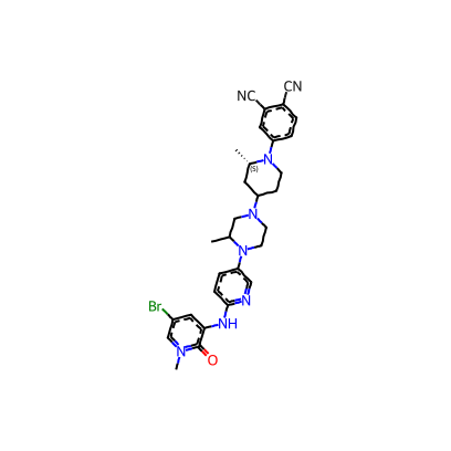 CC1CN(C2CCN(c3ccc(C#N)c(C#N)c3)[C@@H](C)C2)CCN1c1ccc(Nc2cc(Br)cn(C)c2=O)nc1